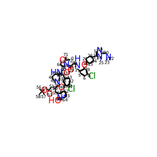 C[C@H](NCc1ccc(Cl)cc1Oc1ccc(-c2cnc(CN(C)C)n2C)cc1)C(=O)N1[C@H](C(=O)N[C@@]2(Cc3ccc(Cl)cc3)CCCN(C(=O)[C@@H](CC(=O)OC(C)(C)C)Cc3cccc[n+]3O)C2)COC1(C)C